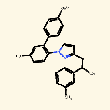 COc1ccc(-c2cc(C)ccc2-n2ccc(CC(C#N)c3cccc(C)c3)n2)cc1